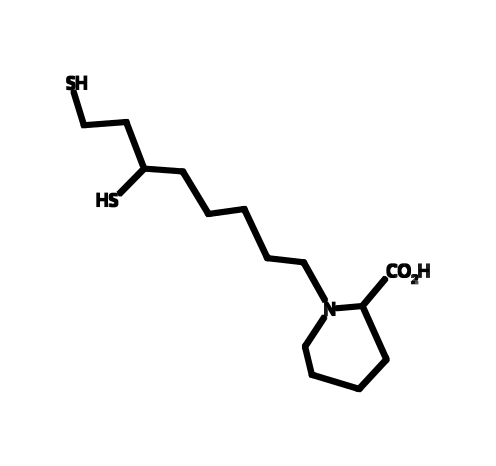 O=C(O)C1CCCCN1CCCCCC(S)CCS